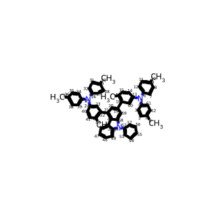 Cc1ccc(N(c2ccc(C)cc2)c2ccc(C)c(-c3cc(-c4cc(N(c5ccc(C)cc5)c5ccc(C)cc5)ccc4C)c4c5ccccc5n(-c5ccccc5)c4c3)c2)cc1